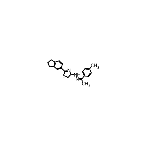 C/C(=N/NC1CSC(c2ccc3c(c2)CCC3)=N1)c1ccc(C)cc1